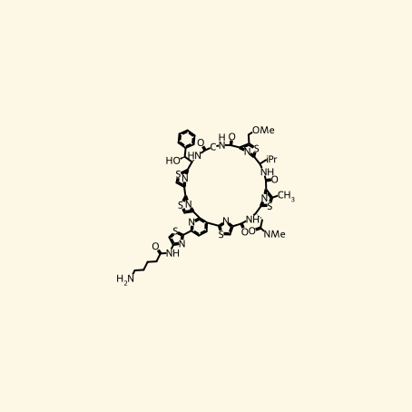 CNC(=O)C[C@@H]1NC(=O)c2csc(n2)-c2ccc(-c3nc(NC(=O)CCCCN)cs3)nc2-c2csc(n2)-c2csc(n2)[C@H]([C@@H](O)c2ccccc2)NC(=O)CNC(=O)c2nc(sc2COC)C(C(C)C)NC(=O)c2nc1sc2C